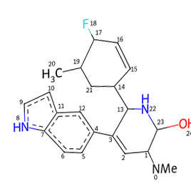 CNC1C=C(c2ccc3[nH]ccc3c2)C(C2C=CC(F)C(C)C2)NC1O